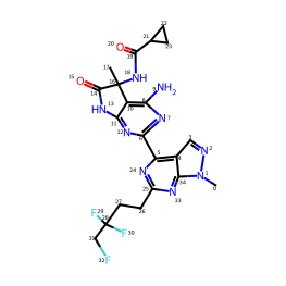 Cn1ncc2c(-c3nc(N)c4c(n3)NC(=O)C4(C)NC(=O)C3CC3)nc(CCC(F)(F)CF)nc21